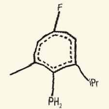 Cc1cc(F)cc(C(C)C)c1P